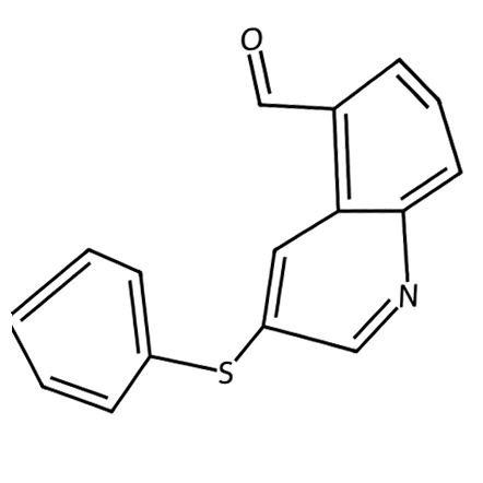 O=Cc1cccc2ncc(Sc3ccccc3)cc12